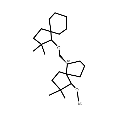 CCOC1C(C)(C)CCC12CCC[C@@H]2COC1C(C)(C)CCC12CCCCC2